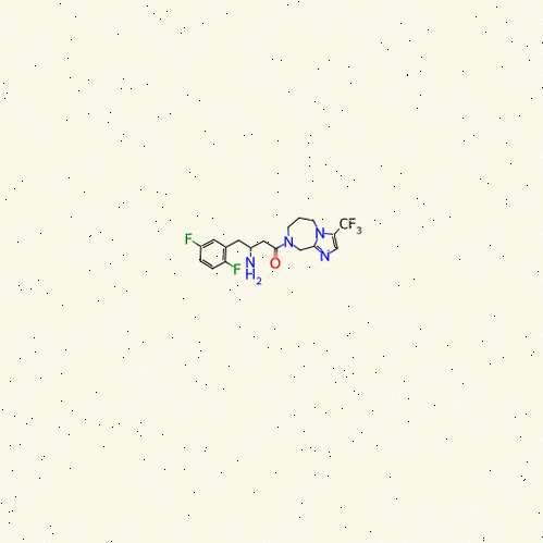 NC(CC(=O)N1CCCn2c(C(F)(F)F)cnc2C1)Cc1cc(F)ccc1F